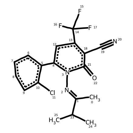 C/C(=N\n1c(-c2ccccc2Cl)cc(C(F)(F)F)c(C#N)c1=O)C(C)C